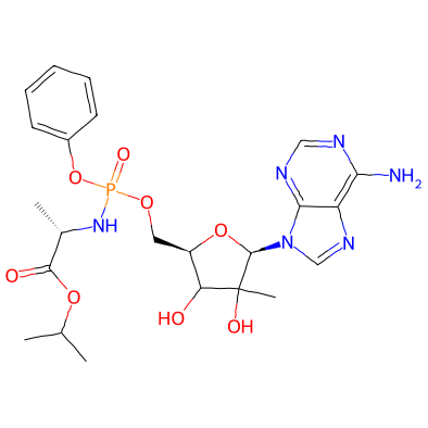 CC(C)OC(=O)[C@H](C)NP(=O)(OC[C@H]1O[C@@H](n2cnc3c(N)ncnc32)C(C)(O)C1O)Oc1ccccc1